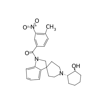 Cc1ccc(C(=O)N2CC3(CCN([C@H]4CCCC[C@@H]4O)CC3)c3ccccc32)cc1[N+](=O)[O-]